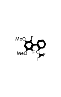 COc1cc(OC)c(F)c(C2=C(OC(F)F)[CH]CC=C2)c1F